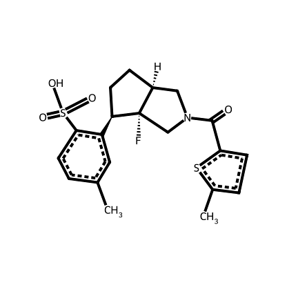 Cc1ccc(S(=O)(=O)O)c([C@H]2CC[C@H]3CN(C(=O)c4ccc(C)s4)C[C@]32F)c1